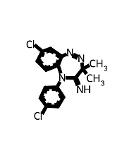 CC1(C)N=Nc2cc(Cl)ccc2N(c2ccc(Cl)cc2)C1=N